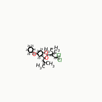 CC(C)=CC(OC(=O)C1C(C=C(Cl)Cl)C1(C)C)c1cccc(Oc2ccccc2)c1